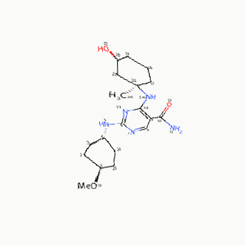 CO[C@H]1CC[C@H](Nc2ncc(C(N)=O)c(N[C@]3(C)CCC[C@H](O)C3)n2)CC1